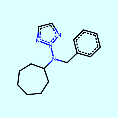 c1ccc(CN(C2CCCCCC2)n2nccn2)cc1